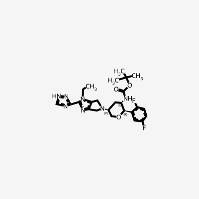 CCn1c(-c2nc[nH]n2)nc2c1CN([C@H]1CO[C@H](c3cc(F)ccc3F)[C@@H](NC(=O)OC(C)(C)C)C1)C2